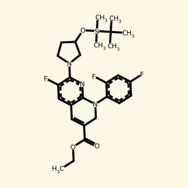 CCOC(=O)C1=Cc2cc(F)c(N3CCC(O[Si](C)(C)C(C)(C)C)C3)nc2N(c2ccc(F)cc2F)C1